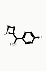 OC(c1ccc(Cl)cc1)C1CCO1